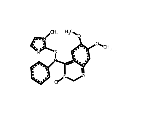 COc1cc2c(cc1OC)=C(N(Sc1nccn1C)c1ccccc1)N(Cl)CN=2